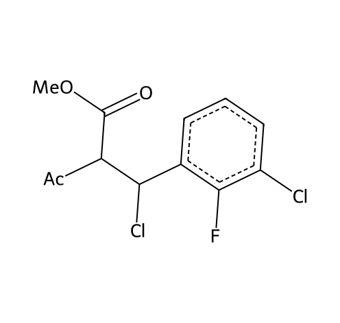 COC(=O)C(C(C)=O)C(Cl)c1cccc(Cl)c1F